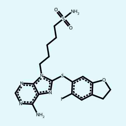 Nc1ncnc2c1nc(Sc1cc3c(cc1I)CCO3)n2CCCCCS(N)(=O)=O